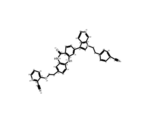 N#Cc1ccc(CCn2cc(-c3ccc4c(c3)Nc3ccc(CCOc5cccnc5C#N)cc3NC4=O)c3ccncc32)cc1